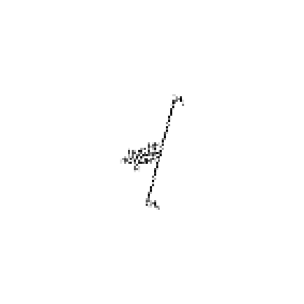 CCCCCCCCCCCCCCCCCCC(CCCCCCCCCCCCCCCCC)NC(=O)NCC(=O)[C@@H](O)[C@@H](O)[C@H](O)CO